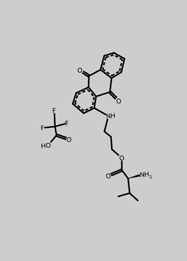 CC(C)[C@H](N)C(=O)OCCCNc1cccc2c1C(=O)c1ccccc1C2=O.O=C(O)C(F)(F)F